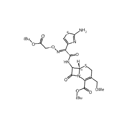 COCC1=C(C(=O)OC(C)(C)C)N2C(=O)C(NC(=O)C(=NOCC(=O)OC(C)(C)C)c3csc(N)n3)[C@@H]2SC1